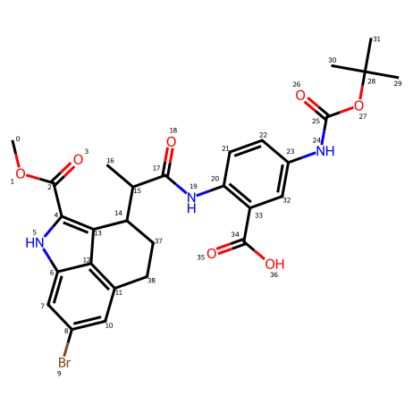 COC(=O)c1[nH]c2cc(Br)cc3c2c1C(C(C)C(=O)Nc1ccc(NC(=O)OC(C)(C)C)cc1C(=O)O)CC3